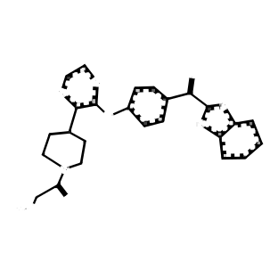 COCC(=O)N1CCC(c2nccnc2Oc2ccc(C(=O)c3nc4ccccc4[nH]3)cc2)CC1